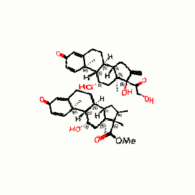 C=C1C[C@H]2[C@@H]3CCC4=CC(=O)C=C[C@]4(C)[C@H]3[C@@H](O)C[C@]2(C)[C@@]1(O)C(=O)CO.COC(=O)[C@@]1(C)[C@H](C)C[C@H]2[C@@H]3CCC4=CC(=O)C=C[C@]4(C)[C@H]3[C@@H](O)C[C@@]21C